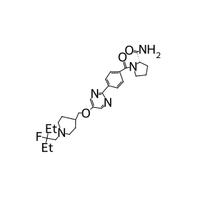 CCC(F)(CC)CN1CCC(COc2cnc(-c3ccc(C(=O)N4CCC[C@H]4C(N)=O)cc3)nc2)CC1